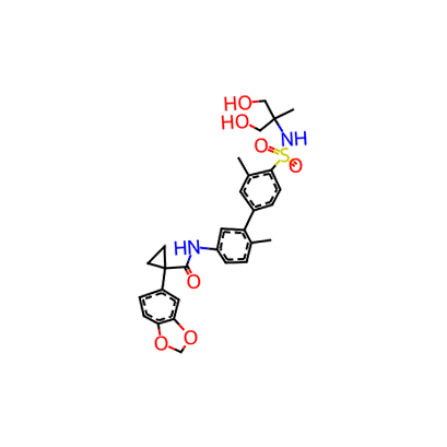 Cc1ccc(NC(=O)C2(c3ccc4c(c3)OCO4)CC2)cc1-c1ccc(S(=O)(=O)NC(C)(CO)CO)c(C)c1